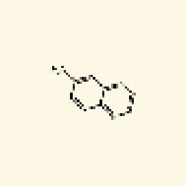 [CH2]c1ccc2nccnc2c1